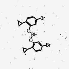 Brc1ccc(C2CC2)c(OBOc2cc(Br)ccc2C2CC2)c1